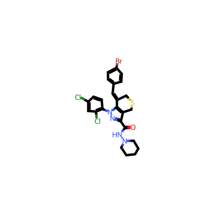 O=C(NN1CCCCC1)c1nn(-c2ccc(Cl)cc2Cl)c2c1CSC/C2=C\c1ccc(Br)cc1